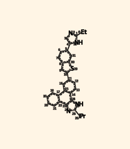 CCc1ncc(-c2ccc3cc(-c4ccc5c(c4)c4ccccc4c4nc(C(C)C)[nH]c54)sc3c2)[nH]1